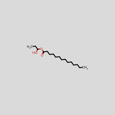 CCCCCCCCCCCCCC(=O)OC(O)CC